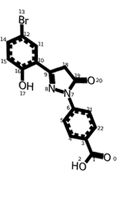 O=C(O)c1ccc(N2N=C(c3cc(Br)ccc3O)CC2=O)cc1